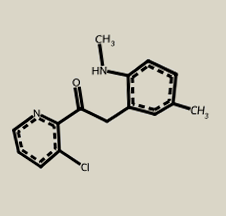 CNc1ccc(C)cc1CC(=O)c1ncccc1Cl